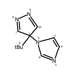 CC(C)(C)C1(n2ccnc2)C=NN=C1